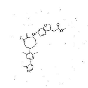 C=C1/C(F)=C\C=C(\c2c(C)cc(-c3ccnn3C)cc2C)CCC[C@H]1Oc1ccc2c(c1)OC[C@H]2CC(=O)OC